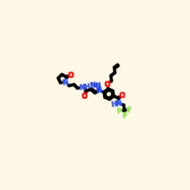 C=CCCCOc1cc(C(=O)NCC(F)(F)F)ccc1-n1cc(C(=O)NCCCN2CCCC2=O)nn1